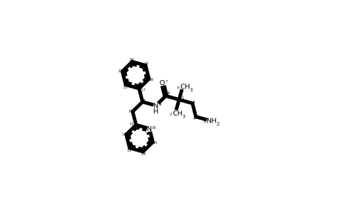 CC(C)(CCN)C(=O)NC(Cc1ccccn1)c1ccccc1